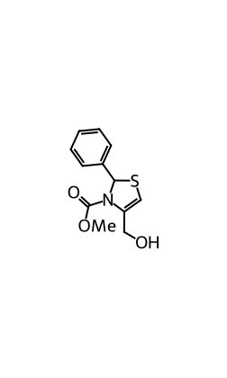 COC(=O)N1C(CO)=CSC1c1ccccc1